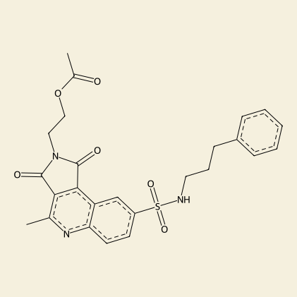 CC(=O)OCCN1C(=O)c2c(C)nc3ccc(S(=O)(=O)NCCCc4ccccc4)cc3c2C1=O